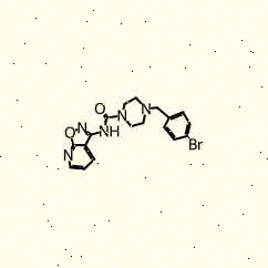 O=C(Nc1noc2ncccc12)N1CCN(Cc2ccc(Br)cc2)CC1